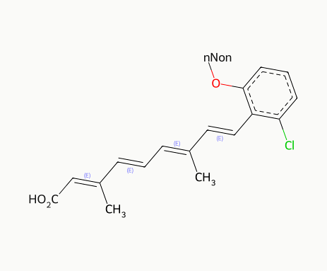 CCCCCCCCCOc1cccc(Cl)c1/C=C/C(C)=C/C=C/C(C)=C/C(=O)O